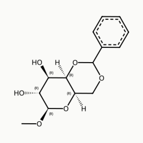 CO[C@@H]1O[C@@H]2COC(c3ccccc3)O[C@@H]2[C@H](O)[C@H]1O